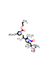 C=CCOC(=O)N1C[C@H](OC)C[C@H]1/C=C(\C)C1=C(C(=O)O)N2C(=O)[C@H]([C@@](C)(O[SiH](C)C)C(C)(C)C)[C@H]2C1